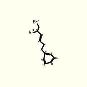 BrCC(Br)/C=C/CCc1ccccc1